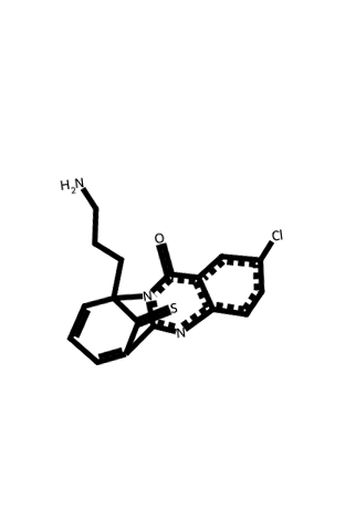 NCCCC12C=CC=C(C1=S)c1nc3ccc(Cl)cc3c(=O)n12